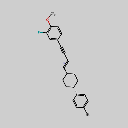 CCc1ccc([C@H]2CC[C@H](/C=C/C#Cc3ccc(OC(F)(F)F)c(F)c3)CC2)cc1